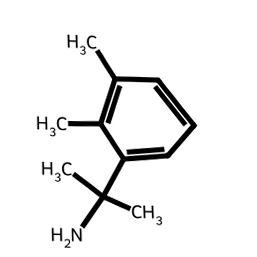 Cc1cccc(C(C)(C)N)c1C